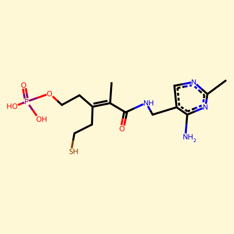 C/C(C(=O)NCc1cnc(C)nc1N)=C(/CCS)CCOP(=O)(O)O